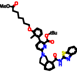 COC(=O)CCCCCCOc1cccc(-c2ccc(N3CCc4cccc(C(=O)Nc5nc6ccccc6s5)c4C3)nc2C(=O)OC(C)(C)C)c1C